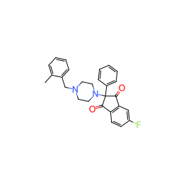 Cc1ccccc1CN1CCN(C2(c3ccccc3)C(=O)c3ccc(F)cc3C2=O)CC1